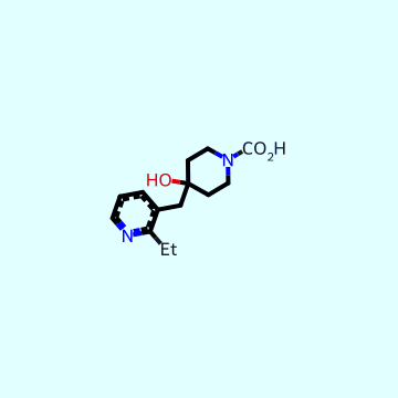 CCc1ncccc1CC1(O)CCN(C(=O)O)CC1